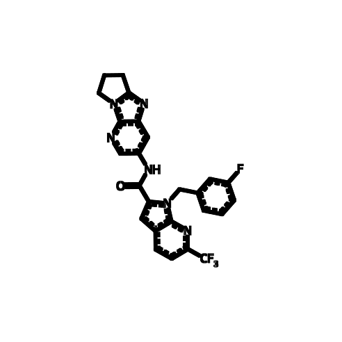 O=C(Nc1cnc2c(c1)nc1n2CCC1)c1cc2ccc(C(F)(F)F)nc2n1Cc1cccc(F)c1